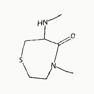 CNC1CSCCN(C)C1=O